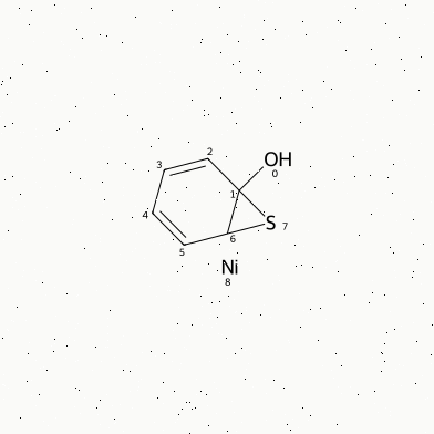 OC12C=CC=CC1S2.[Ni]